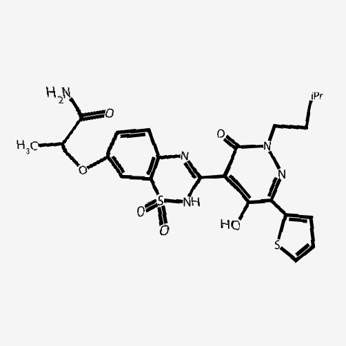 CC(C)CCn1nc(-c2cccs2)c(O)c(C2=Nc3ccc(OC(C)C(N)=O)cc3S(=O)(=O)N2)c1=O